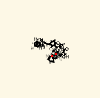 CC(C)(C)OC(=O)Oc1c(CCB2O[C@@H]3C[C@@H]4C[C@@H](C4(C)C)[C@]3(C)O2)ccc(OC2CN(C(=O)[C@@H](CO)NC(=O)OCc3ccccc3)C2)c1C(=O)OC(C)(C)C